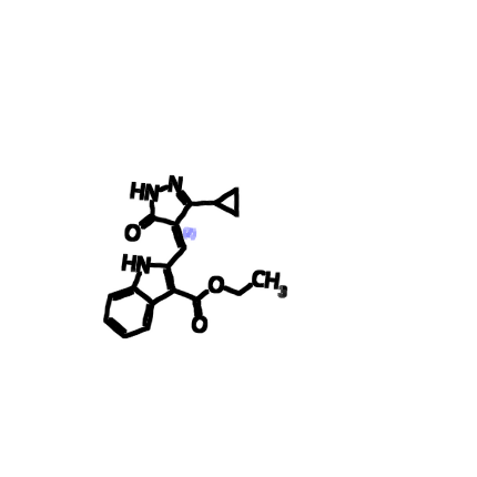 CCOC(=O)c1c(/C=C2\C(=O)NN=C2C2CC2)[nH]c2ccccc12